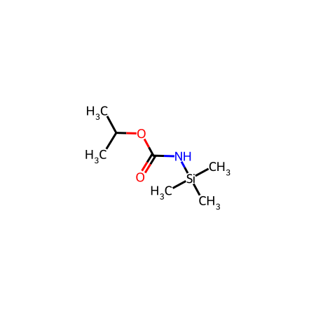 CC(C)OC(=O)N[Si](C)(C)C